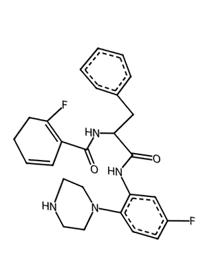 O=C(NC(Cc1ccccc1)C(=O)Nc1cc(F)ccc1N1CCNCC1)C1=C(F)CCC=C1